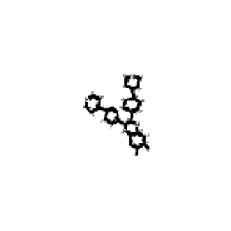 Cc1cc2nc(-c3ccc(-c4ccncc4)cc3)c(-c3ccc(-c4ccncc4)cc3)nc2cc1C